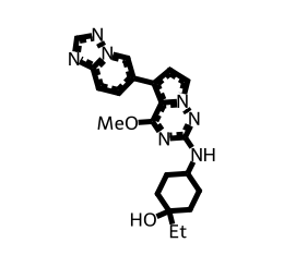 CCC1(O)CCC(Nc2nc(OC)c3c(-c4ccc5ncnn5c4)ccn3n2)CC1